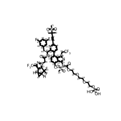 CC(C)(C#Cc1ccc(-c2ccc(Cl)c3c(N(C(=O)OCCOCCOCCOP(=O)(O)O)S(C)(=O)=O)nn(CC(F)(F)F)c23)c([C@H](Cc2cc(F)cc(F)c2)NC(=O)Cn2nc(C(F)(F)F)c3c2C(F)(F)[C@@H]2C[C@H]32)n1)S(C)(=O)=O